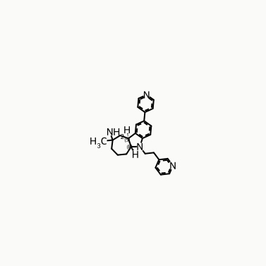 CC1(N)CCC[C@@H]2[C@@H](C1)c1cc(-c3ccncc3)ccc1N2CCc1cccnc1